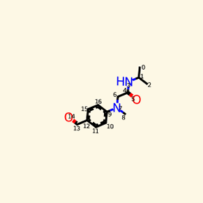 CC(C)NC(=O)CN(C)c1ccc(C=O)cc1